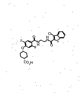 O=C(NCCNC(=O)c1sc2ccccc2c1Cl)c1cc(F)c(O[C@H]2CC[C@@H](C(=O)O)CC2)cc1F